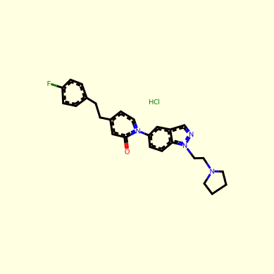 Cl.O=c1cc(CCc2ccc(F)cc2)ccn1-c1ccc2c(cnn2CCN2CCCC2)c1